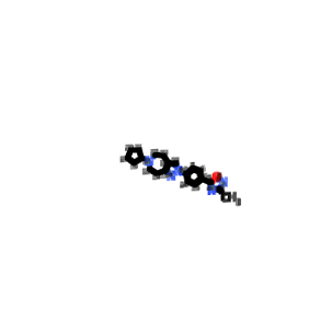 Cc1noc(-c2ccc(-n3cc4c(n3)CCN(C3CCCC3)CC4)cc2)n1